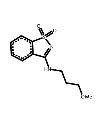 COCCCNC1=NS(=O)(=O)c2ccccc21